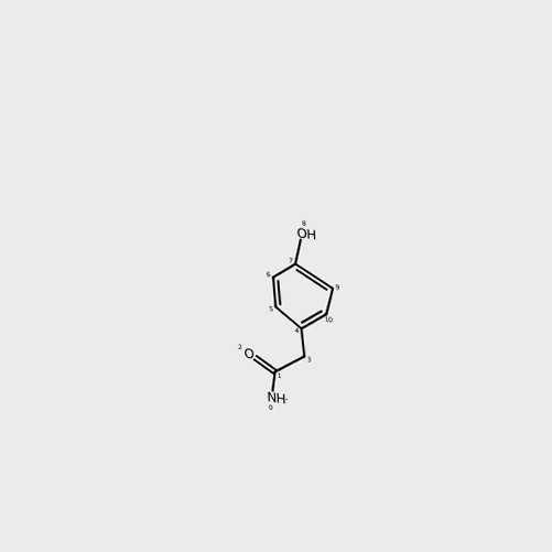 [NH]C(=O)Cc1ccc(O)cc1